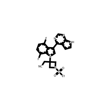 CCS(=O)(=O)N1CC(CC#N)(n2cc(-c3ncnc4[nH]ccc34)c3c(F)ccc(F)c32)C1